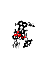 [2H]C([2H])([2H])OC[C@]12CC[C@H](CN(c3nc(OCC45CC(=C)CN4CC(=C)C5)nc4c(F)c(-c5cc(OCOC)cc6ccc(F)c(C#C[Si](C(C)C)(C(C)C)C(C)C)c56)nc(OC)c34)C1)N2C(=O)OC(C)(C)C